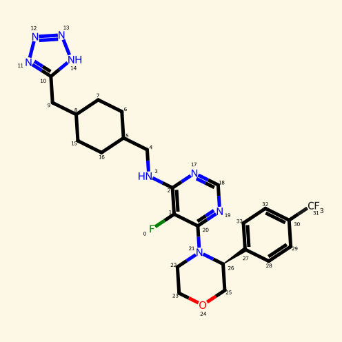 Fc1c(NCC2CCC(Cc3nnn[nH]3)CC2)ncnc1N1CCOC[C@@H]1c1ccc(C(F)(F)F)cc1